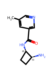 Cc1cncc(C(=O)N[C@@H]2CC[C@@H]2N)c1